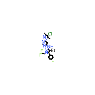 CCc1c(Nc2cc(-n3nc(C)c(Cl)c3C)ncn2)nn(CC(F)F)c1-c1ccc(F)cc1